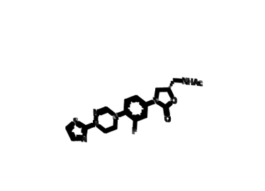 CC(=O)NC[C@H]1CN(c2ccc(N3C=NN(c4nccs4)CC3)c(F)c2)C(=O)O1